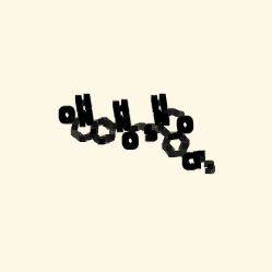 O=C(CSC1NCCOc2cc(C(F)(F)F)ccc21)Nc1ccc2c(c1)NC(=O)CC2